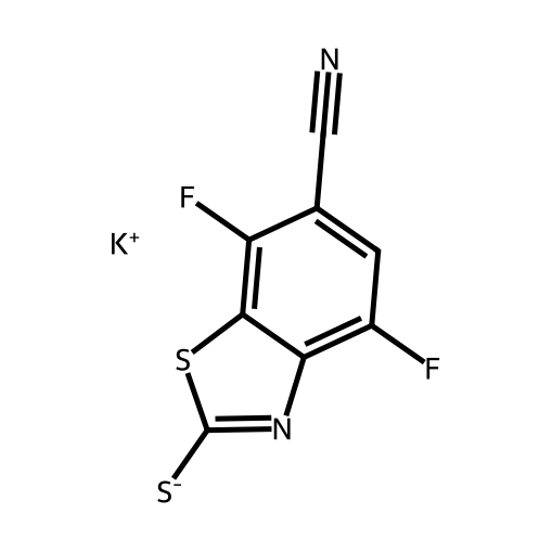 N#Cc1cc(F)c2nc([S-])sc2c1F.[K+]